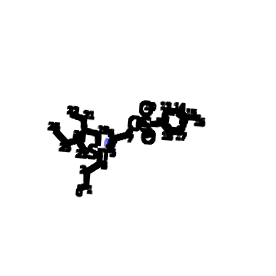 CCC[CH2][Sn](/[CH]=C/COS(=O)(=O)c1ccc(C)cc1)([CH2]CCC)[CH2]CCC